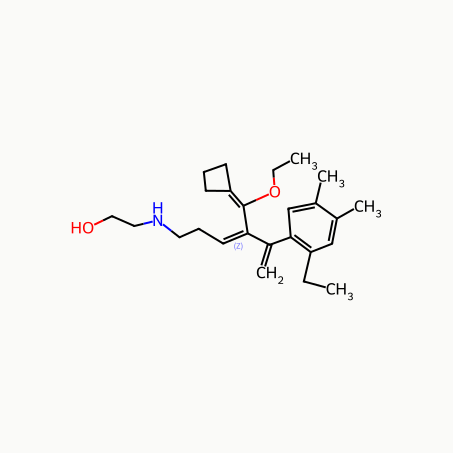 C=C(/C(=C/CCNCCO)C(OCC)=C1CCC1)c1cc(C)c(C)cc1CC